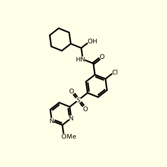 COc1nccc(S(=O)(=O)c2ccc(Cl)c(C(=O)NC(O)C3CCCCC3)c2)n1